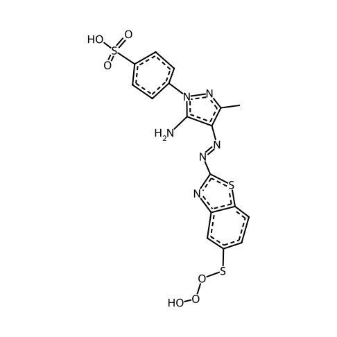 Cc1nn(-c2ccc(S(=O)(=O)O)cc2)c(N)c1/N=N/c1nc2cc(SOOO)ccc2s1